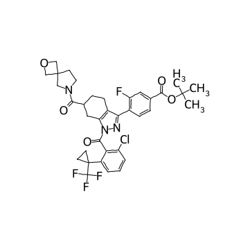 CC(C)(C)OC(=O)c1ccc(-c2nn(C(=O)c3c(Cl)cccc3C3(C(F)(F)F)CC3)c3c2CCC(C(=O)N2CCC4(COC4)C2)C3)c(F)c1